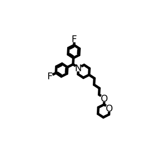 Fc1ccc(C(c2ccc(F)cc2)N2CCC(CCCCOC3CCCCO3)CC2)cc1